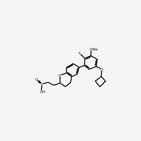 COc1cc(OC2CCC2)cc(-c2ccc3c(c2)CCC(CCS(=O)O)O3)c1F